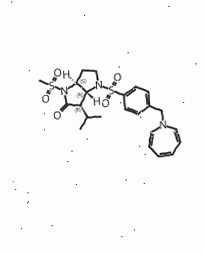 CC(C)[C@H]1C(=O)N(S(C)(=O)=O)[C@H]2CCN(S(=O)(=O)c3ccc(CN4C=CC=CC=C4)cc3)[C@H]12